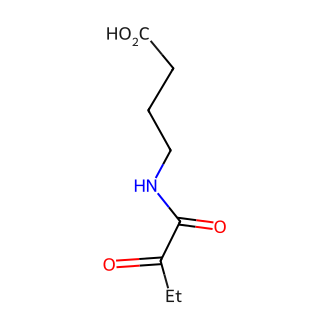 CCC(=O)C(=O)NCCCC(=O)O